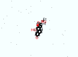 CCCCCO[C@]1(C(=O)COC(=O)CC)CC[C@H]2C3=C(C(O)C[C@@]21C)[C@@]1(C)C=CC(=O)C=C1CC3